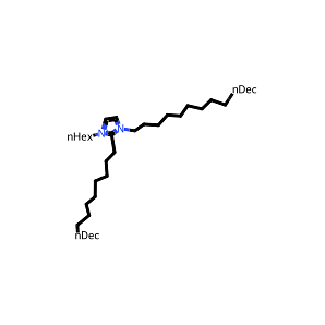 CCCCCCCCCCCCCCCCCCCn1cc[n+](CCCCCC)c1CCCCCCCCCCCCCCCCCC